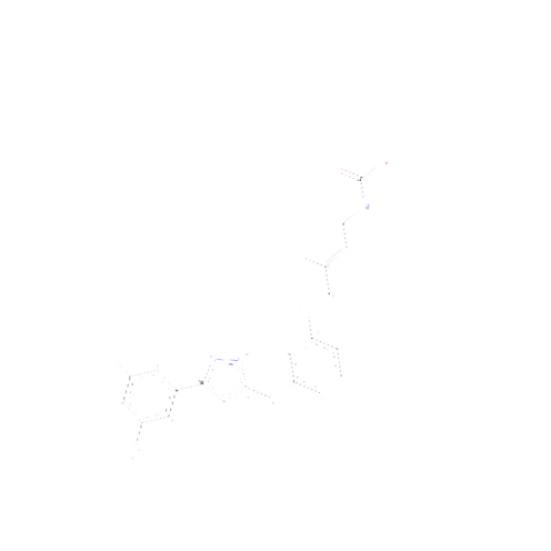 O=C(O)NC/C=C(\F)CSc1cccc(Cn2cc(-c3cc(O)cc(O)c3)nn2)c1